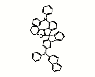 C1=Cc2c(oc3c2-c2c(N(c4ccccc4)c4ccccc4)cccc2C32c3ccccc3-c3cc(N(c4ccccc4)c4ccc5ccccc5c4)ccc32)CC1